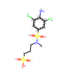 CN(CCCS(=O)(=O)O)S(=O)(=O)c1cc(Cl)c(N)c(Cl)c1